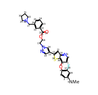 CNc1ccc(Oc2ccnc3cc(-c4cnn(CCOC(=O)c5cccc(CN6CCCC6)c5)c4)sc23)c(F)c1